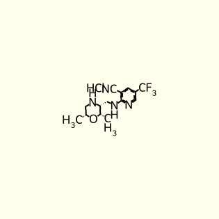 C[C@@H]1CN[C@H](CNc2ncc(C(F)(F)F)cc2C#N)[C@H](C)O1.Cl